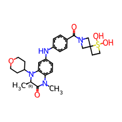 C[C@@H]1C(=O)N(C)c2ccc(Nc3ccc(C(=O)N4CC5(CCS5(O)O)C4)cc3)cc2N1C1CCOCC1